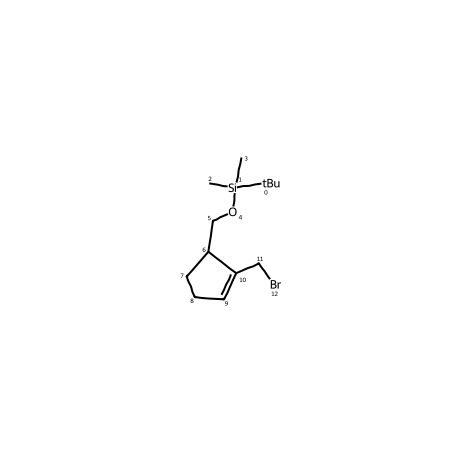 CC(C)(C)[Si](C)(C)OCC1CCC=C1CBr